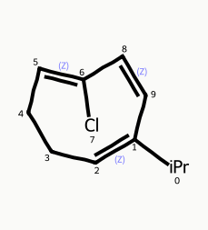 CC(C)C1=C/CC/C=C(Cl)/C=C\1